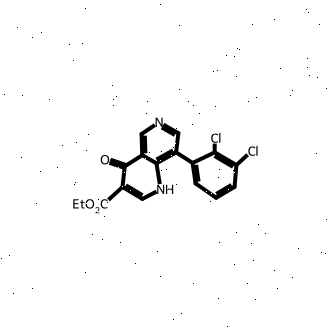 CCOC(=O)c1c[nH]c2c(-c3cccc(Cl)c3Cl)cncc2c1=O